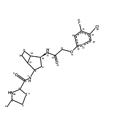 CC1CSC(C(=O)NC2C[C@H](NC(=O)COc3ccc(Cl)c(F)c3)C3CCC23)N1